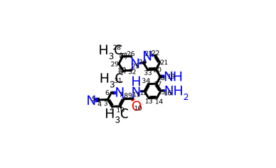 Cc1cc(C#N)cnc1C(=O)Nc1ccc(N)c(C(=N)c2ccnc(N3C[C@H](C)C[C@H](C)C3)c2)c1